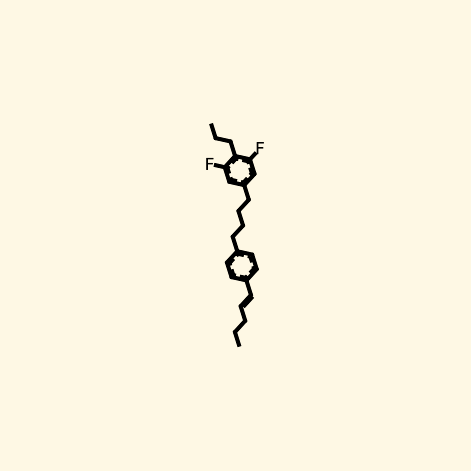 CCCC=Cc1ccc(CCCCc2cc(F)c(CCC)c(F)c2)cc1